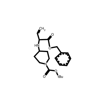 C=CC(NC1CCN(C(=O)OC(C)(C)C)CC1)C(=O)OCc1ccccc1